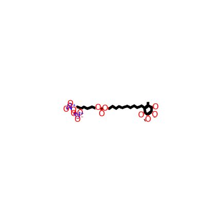 COC1=C(OC)C(=O)C(CCCCCCCCCCOC(=O)OCCCCC(CO[N+](=O)[O-])O[N+](=O)[O-])=C(C)C1=O